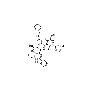 CC[C@H](C)[C@H](NC(=O)[C@H](CC(C)C)NC(=O)c1cnccn1)C(=O)N1C[C@H](OCc2ccccc2)C[C@H]1C(=O)N(C(=O)C[C@H](N)CC(F)F)C(=O)C(=O)OC(C)(C)C